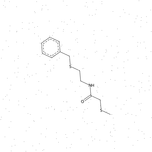 [CH2]SCC(=O)NCCSCc1cc[c]cc1